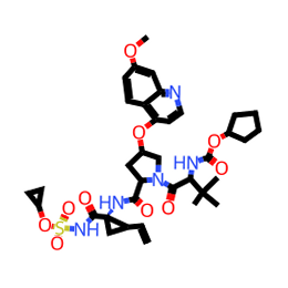 C=CC1C[C@]1(NC(=O)C1CC(Oc2ccnc3cc(OC)ccc23)CN1C(=O)C(NC(=O)OC1CCCC1)C(C)(C)C)C(=O)NS(=O)(=O)OC1CC1